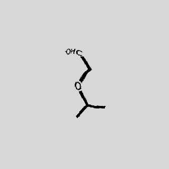 CC(C)OC[C]=O